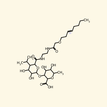 CCCC/C=C/CCOCC(=O)NCCNC(=O)C1OC(OC2C(C(=O)O)OC(C)C(O)C2O)C(O)C(O)C1C(C)C